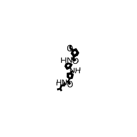 COc1cccc(C(=O)Nc2cccc(Nc3ccc(C(=O)NCCC(C)C)cc3)c2)c1